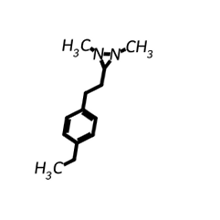 CCc1ccc(CCC2N(C)N2C)cc1